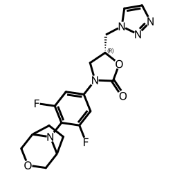 O=C1O[C@@H](Cn2ccnn2)CN1c1cc(F)c(N2C3CCC2COC3)c(F)c1